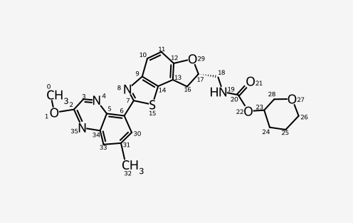 COc1cnc2c(-c3nc4ccc5c(c4s3)C[C@@H](CNC(=O)OC3CCCOC3)O5)cc(C)cc2n1